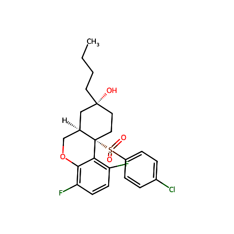 CCCC[C@@]1(O)CC[C@@]2(S(=O)(=O)c3ccc(Cl)cc3)c3c(F)ccc(F)c3OC[C@H]2C1